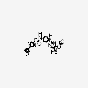 Cn1cc(-c2cnc(OC(=O)N[C@H]3CC[C@H](Nc4ncc(C(F)(F)F)c(OC5COC5)n4)CC3)cn2)cn1